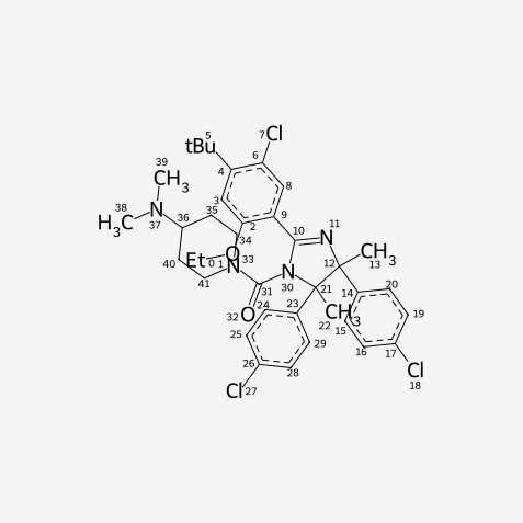 CCOc1cc(C(C)(C)C)c(Cl)cc1C1=NC(C)(c2ccc(Cl)cc2)C(C)(c2ccc(Cl)cc2)N1C(=O)N1CCC(N(C)C)CC1